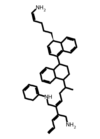 C=C/C=C(CN)/C(=C/CC(C)C1CCC(C2=C3C=CC=CC3[C@H](CCC/C=C\N)C=C2)C2C=CC=CC21)CNC1=CC=CCC1